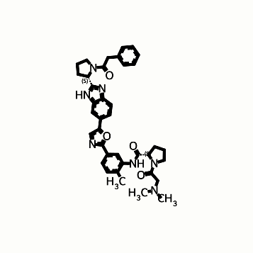 Cc1ccc(-c2ncc(-c3ccc4nc([C@@H]5CCCN5C(=O)Cc5ccccc5)[nH]c4c3)o2)cc1NC(=O)[C@@H]1CCCN1C(=O)CN(C)C